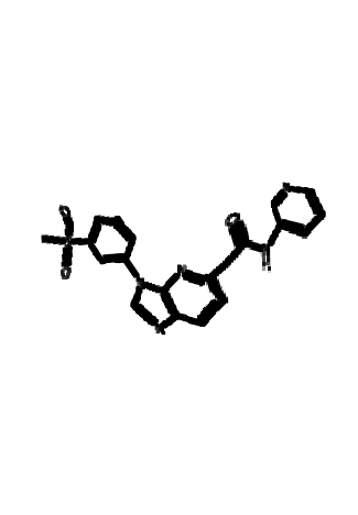 CS(=O)(=O)c1cccc(-n2cnc3ccc(C(=O)Nc4cccnc4)nc32)c1